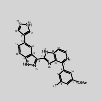 COc1cc(F)cc(-c2nccc3[nH]c(-c4n[nH]c5ccc(-c6cn[nH]c6)cc45)nc23)c1